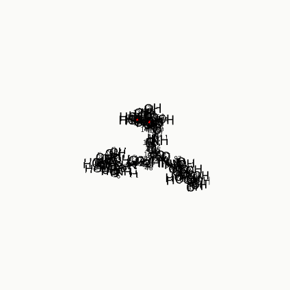 CC(=O)NC1C(O)[C@H](O[C@@H]2OC(CO)[C@H](O)C(O[C@H]3OC(CO)[C@H](O)C(O)C3O)C2O)C(CO)O[C@H]1OCCCNC(=O)COc1cc(C)cc(-c2cc(OCC(=O)NCCCO[C@@H]3OC(CO)[C@@H](O[C@@H]4OC(CO)[C@H](O)C(O[C@H]5OC(CO)[C@H](O)C(O)[C@H]5O)C4O)C(O)C3NC(C)=O)cc(OCC(=O)NCCCO[C@@H]3OC(CO)[C@@H](O[C@@H]4OC(CO)[C@H](O)C(O[C@H]5OC6(CO)[C@H](O)C(O)C56O)C4O)C(O)C3NC(C)=O)c2)c1